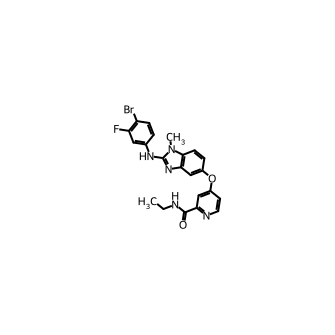 CCNC(=O)c1cc(Oc2ccc3c(c2)nc(Nc2ccc(Br)c(F)c2)n3C)ccn1